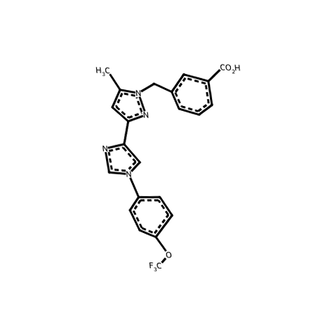 Cc1cc(-c2cn(-c3ccc(OC(F)(F)F)cc3)cn2)nn1Cc1cccc(C(=O)O)c1